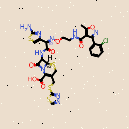 Cc1onc(-c2ccccc2Cl)c1C(=O)NCCO/N=C(\C(=O)NC1C(=O)N2C(C(=O)O)=C(CSc3nncs3)CS[C@@H]12)c1csc(N)n1